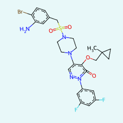 CC1(COc2c(N3CCN(S(=O)(=O)Cc4ccc(Br)c(N)c4)CC3)cnn(-c3cc(F)cc(F)c3)c2=O)CC1